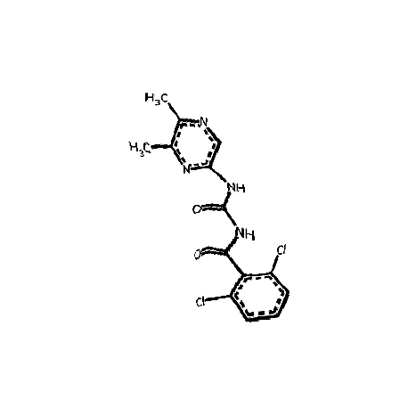 Cc1ncc(NC(=O)NC(=O)c2c(Cl)cccc2Cl)nc1C